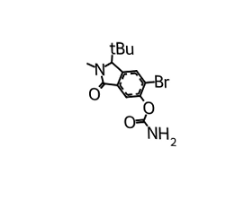 CN1C(=O)c2cc(OC(N)=O)c(Br)cc2C1C(C)(C)C